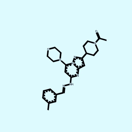 CC(=O)N1CCC(c2cc3nc(NN=Cc4cccc(C)c4)cc(N4CCOCC4)n3n2)CC1